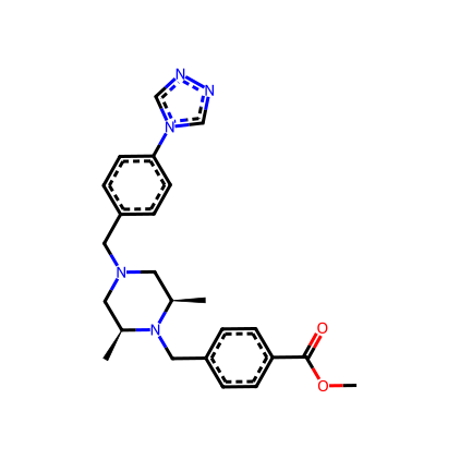 COC(=O)c1ccc(CN2[C@H](C)CN(Cc3ccc(-n4cnnc4)cc3)C[C@@H]2C)cc1